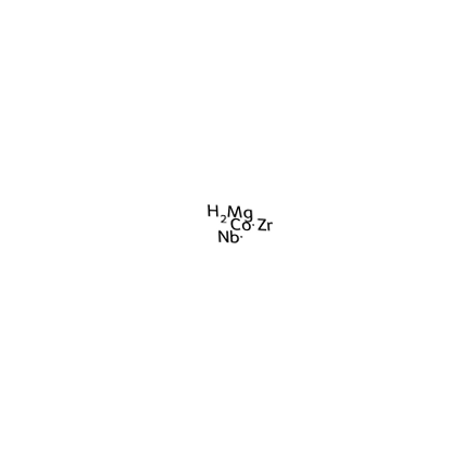 [Co].[MgH2].[Nb].[Zr]